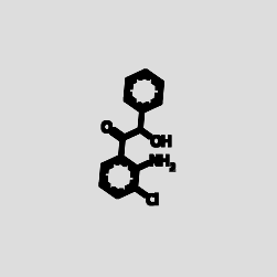 Nc1c(Cl)cccc1C(=O)C(O)c1ccccc1